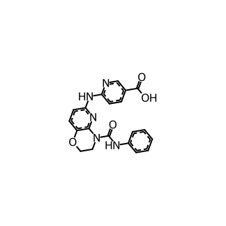 O=C(O)c1ccc(Nc2ccc3c(n2)N(C(=O)Nc2ccccc2)CCO3)nc1